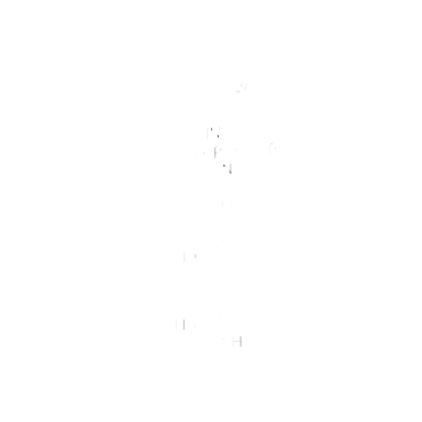 CC(C)=CCC/C(C)=C/COC1CCOP(=O)(NCCBr)N1CCBr